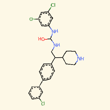 OC(NCC(c1ccc(-c2cccc(Cl)c2)cc1)C1CCNCC1)Nc1cc(Cl)cc(Cl)c1